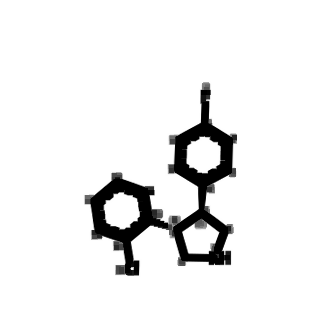 Fc1ccc([C@H]2CNC[C@@H]2c2ccccc2Cl)cc1